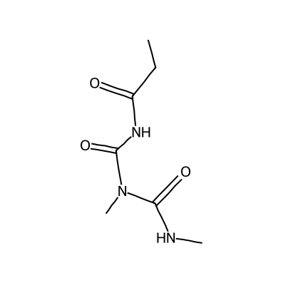 CCC(=O)NC(=O)N(C)C(=O)NC